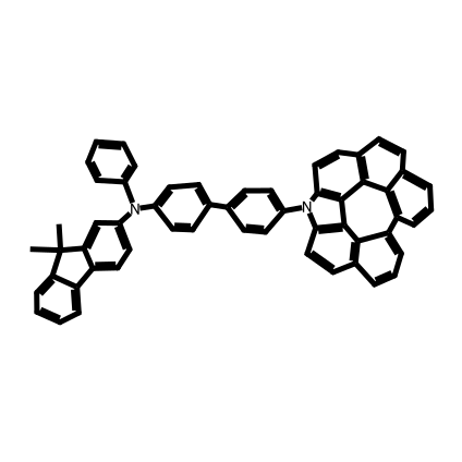 CC1(C)c2ccccc2-c2ccc(N(c3ccccc3)c3ccc(-c4ccc(-n5c6ccc7cccc8c7c6c6c7c(ccc9cccc-8c97)ccc65)cc4)cc3)cc21